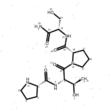 C[C@@H](O)[C@H](NC(=O)[C@@H]1CCCN1)C(=O)N1CCC[C@H]1C(=O)N[C@@H](CO)C(N)=O